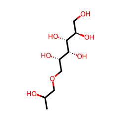 CC(O)COC[C@H](O)[C@@H](O)[C@H](O)[C@H](O)CO